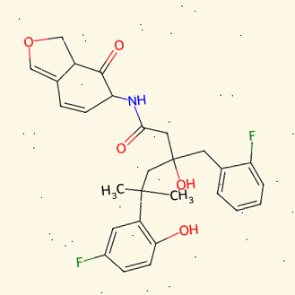 CC(C)(CC(O)(CC(=O)NC1C=CC2=COCC2C1=O)Cc1ccccc1F)c1cc(F)ccc1O